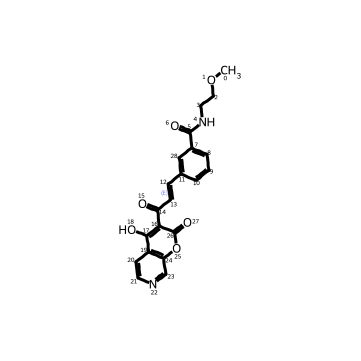 COCCNC(=O)c1cccc(/C=C/C(=O)c2c(O)c3ccncc3oc2=O)c1